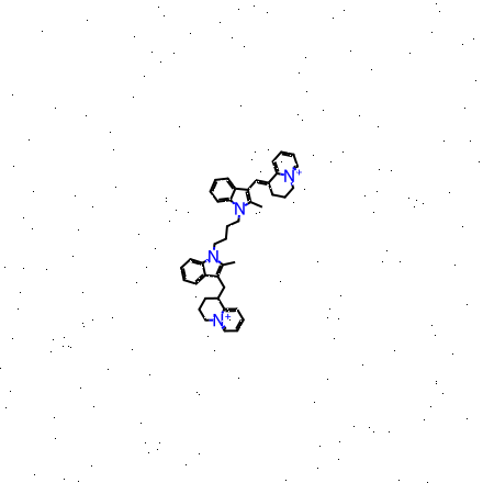 Cc1c(/C=C2\CCC[n+]3ccccc32)c2ccccc2n1CCCCn1c(C)c(CC2CCC[n+]3ccccc32)c2ccccc21